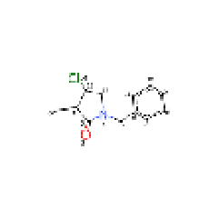 CC1C(=O)N(Cc2ccccc2)CC1Cl